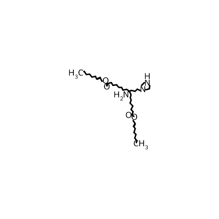 CCCCCC/C=C/COC(=O)CCCCCCCC(N)(CCCCCCCC(=O)OC/C=C/CCCCCC)CCCCN1CCCNCC1